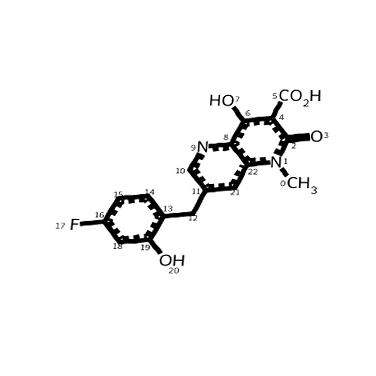 Cn1c(=O)c(C(=O)O)c(O)c2ncc(Cc3ccc(F)cc3O)cc21